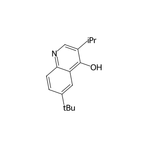 CC(C)c1cnc2ccc(C(C)(C)C)cc2c1O